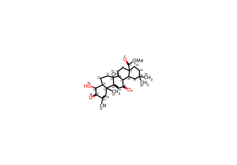 COC(=O)C12CCC3C(C(=O)C=C4C5(C)C=C(C#N)C(=O)C(O)C5CCC43C)C1CC(C)(C)CC2